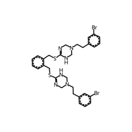 Brc1cccc(CCN2CN=C(SCc3ccccc3CSC3=NCN(CCc4cccc(Br)c4)CN3)NC2)c1